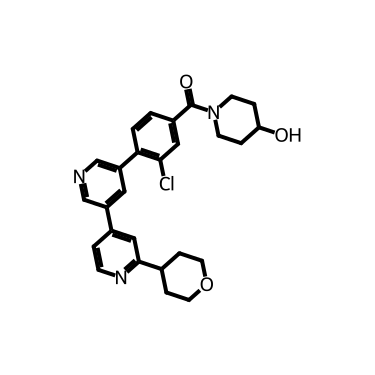 O=C(c1ccc(-c2cncc(-c3ccnc(C4CCOCC4)c3)c2)c(Cl)c1)N1CCC(O)CC1